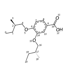 CC[C@@H](C)COc1ccc(C(=O)O)cc1OC[C@H](C)CC